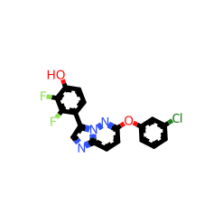 Oc1ccc(-c2cnc3ccc(Oc4cccc(Cl)c4)nn23)c(F)c1F